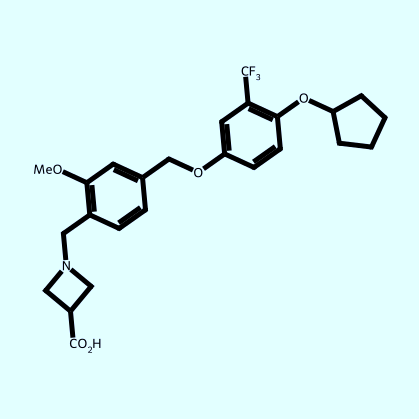 COc1cc(COc2ccc(OC3CCCC3)c(C(F)(F)F)c2)ccc1CN1CC(C(=O)O)C1